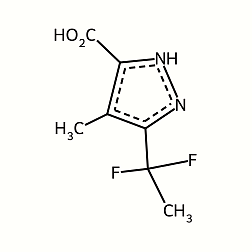 Cc1c(C(C)(F)F)n[nH]c1C(=O)O